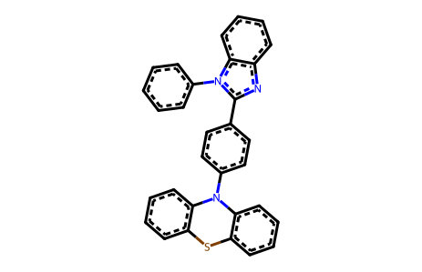 c1ccc(-n2c(-c3ccc(N4c5ccccc5Sc5ccccc54)cc3)nc3ccccc32)cc1